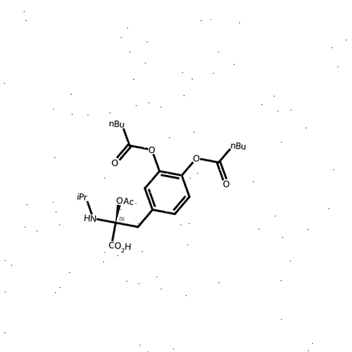 CCCCC(=O)Oc1ccc(C[C@](NC(C)C)(OC(C)=O)C(=O)O)cc1OC(=O)CCCC